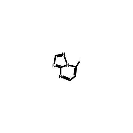 Ic1ccnc2ncnn12